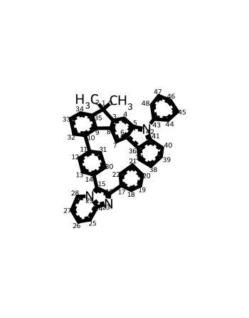 CC1(C)c2cc3c(cc2-c2c(-c4ccc(-c5c(-c6ccccc6)nc6ccccn56)cc4)cccc21)c1ccccc1n3-c1ccccc1